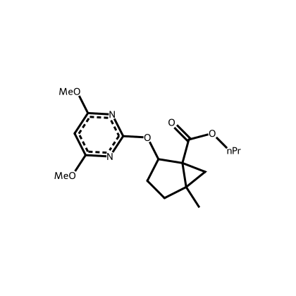 CCCOC(=O)C12CC1(C)CCC2Oc1nc(OC)cc(OC)n1